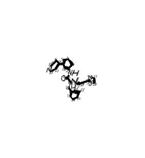 O=C(Nc1cccc(-c2ccncc2)c1)[C@H](Cc1ccccc1)NCc1nccs1